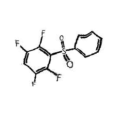 O=S(=O)(c1ccccc1)c1c(F)c(F)[c]c(F)c1F